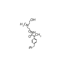 CC(C)Cc1ccc([C@@H](C)C(=O)NOCCN(C)CCO)cc1